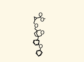 COC(=O)C1CC1COCC12CCC(c3cccc(Oc4ccccc4)c3)(COC1)C2